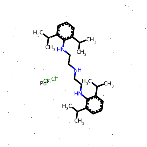 CC(C)c1cccc(C(C)C)c1NCCNCCNc1c(C(C)C)cccc1C(C)C.[Cl-].[Cl-].[Pd+2]